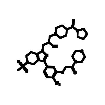 CS(=O)(=O)N1CCc2c(c(-c3ccc(C(F)(F)F)c(SCC(=O)N4CCOCC4)c3)nn2CC(O)CN2CCC(C(=O)N3CCCC3)CC2)C1